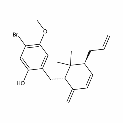 C=CC[C@H]1C=CC(=C)[C@H](Cc2cc(OC)c(Br)cc2O)C1(C)C